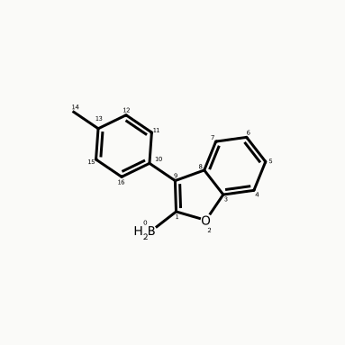 Bc1oc2ccccc2c1-c1ccc(C)cc1